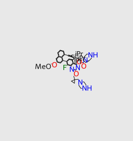 COCOc1cc(-c2ccc3c(OC(=O)N4C5CCC4CNC5)nc(OCC4(CN5CCNCC5)CC4)nc3c2F)c2c(C#C[Si](C(C)C)(C(C)C)C(C)C)cccc2c1